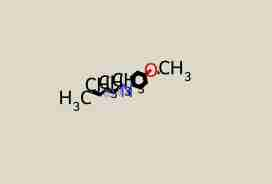 CCOc1ccc(/N=C(C)/C=C(\C)C=C(C)C)cc1